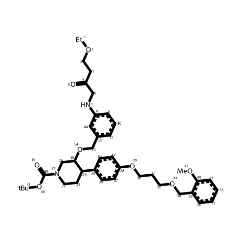 CCOCCC(=O)CNc1cccc(COC2CN(C(=O)OC(C)(C)C)CCC2c2ccc(OCCCOCc3ccccc3OC)cc2)c1